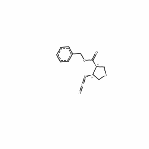 O=C=N[C@@H]1COC[C@@H]1C(=O)OCc1ccccc1